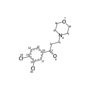 O=C(CCN1CCOCC1)c1ccc(Cl)c(Cl)c1